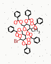 CC1C(OC2C(COC(=O)c3ccccc3)OC(Br)C(OC(=O)c3ccccc3)C2OC(=O)c2ccccc2)OC(COC(=O)c2ccccc2)C(OC(=O)c2ccccc2)C1OC(=O)c1ccccc1